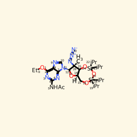 CCOc1nc(NC(C)=O)nc2c1ncn2[C@@H]1O[C@@H]2CO[Si](C(C)C)(C(C)C)O[Si](C(C)C)(C(C)C)OC2[C@@]1(C)N=[N+]=[N-]